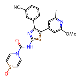 COc1cc(-c2sc(NC(=O)N3C=C[S+]([O-])C=C3)nc2-c2cccc(C#N)c2)cc(C)n1